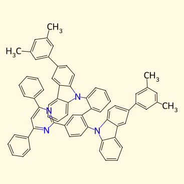 Cc1cc(C)cc(-c2ccc3c(c2)c2ccccc2n3-c2ccccc2-c2cc(-c3nc(-c4ccccc4)cc(-c4ccccc4)n3)ccc2-n2c3ccccc3c3cc(-c4cc(C)cc(C)c4)ccc32)c1